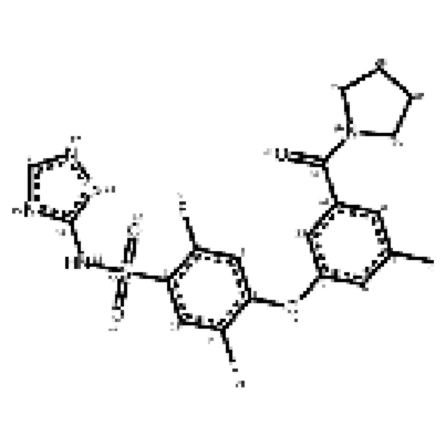 Cc1cc(Oc2cc(F)c(S(=O)(=O)Nc3ncns3)cc2F)cc(C(=O)N2CCCC2)c1